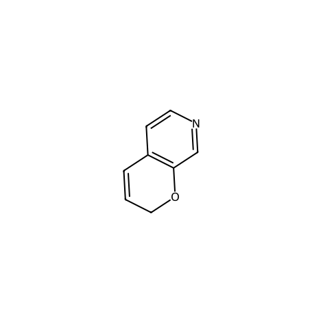 C1=Cc2ccncc2OC1